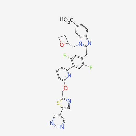 O=C(O)c1ccc2nc(Cc3cc(F)c(-c4cccc(OCc5ncc(-c6cncnc6)s5)n4)cc3F)n(CC3CCO3)c2c1